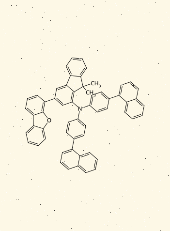 CC1(C)c2ccccc2-c2cc(-c3cccc4c3oc3ccccc34)cc(N(c3ccc(-c4cccc5ccccc45)cc3)c3ccc(-c4cccc5ccccc45)cc3)c21